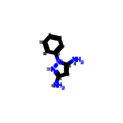 Nc1[c]c(N)n(-c2ccccc2)n1